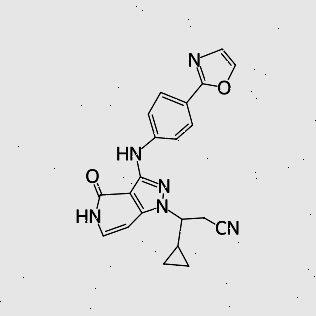 N#CCC(C1CC1)n1nc(Nc2ccc(-c3ncco3)cc2)c2c(=O)[nH]ccc21